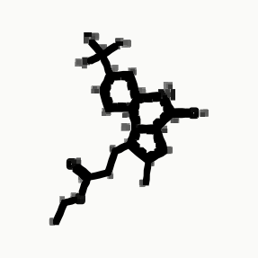 CCOC(=O)CCc1c(C)cc2c(=O)[nH]c3cc(C(F)(F)F)ccc3n12